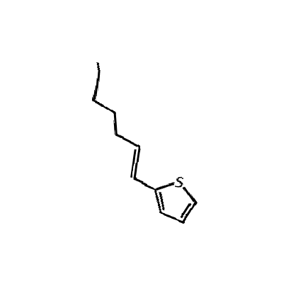 CCCCC=Cc1cccs1